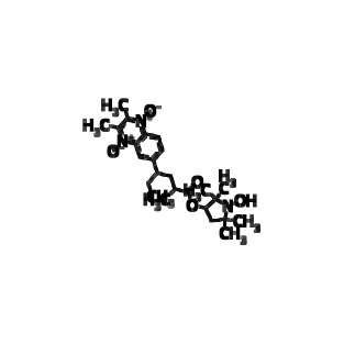 CCC(CC(C)C(=O)OC1CC(C)(C)N(O)C1(C)C)c1ccc2c(c1)[n+]([O-])c(C)c(C)[n+]2[O-]